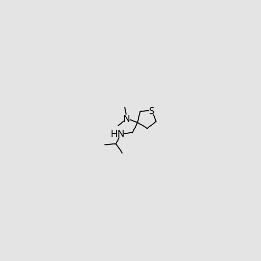 CC(C)NCC1(N(C)C)CCSC1